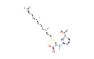 CC(=O)c1ccnc(NC(CSC/C=C(\C)CC/C=C(\C)CCC=C(C)C)C(=O)O)n1